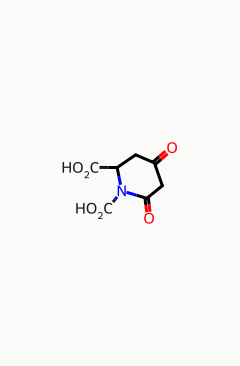 O=C1CC(=O)N(C(=O)O)C(C(=O)O)C1